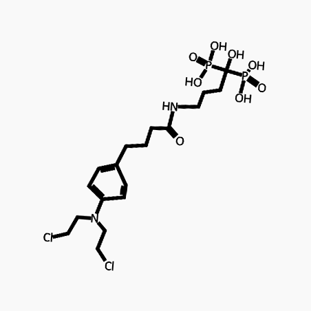 O=C(CCCc1ccc(N(CCCl)CCCl)cc1)NCCCC(O)(P(=O)(O)O)P(=O)(O)O